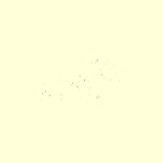 CC(C(=O)N(C)C)n1cc(Cl)c(-c2ccccc2Cl)n1